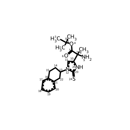 CC(C)(C)OC(=O)C(C)(N)c1cn(C2CCc3ccccc3C2)c(=S)[nH]1